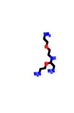 NCCOCCNC(CN)OCCN